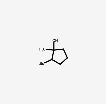 CC(C)(C)C1CCCC1(C)O